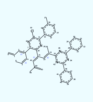 C=C/C=C(\C=C/C)c1nc(Cl)c(-c2cccc(C)c2)nc1C(/C=C(\C)c1nc(-c2ccccc2)nc(-c2ccccc2)n1)=C/C(=C)C